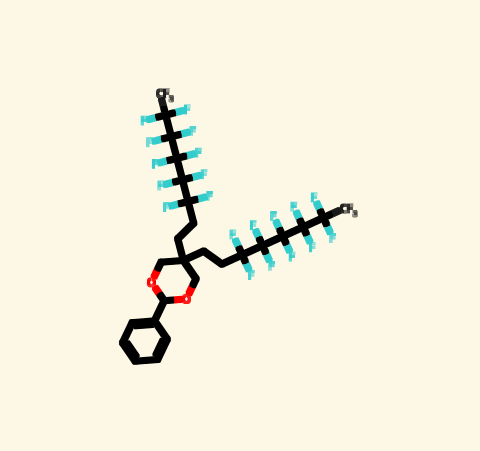 FC(F)(F)C(F)(F)C(F)(F)C(F)(F)C(F)(F)C(F)(F)CCC1(CCC(F)(F)C(F)(F)C(F)(F)C(F)(F)C(F)(F)C(F)(F)F)COC(c2ccccc2)OC1